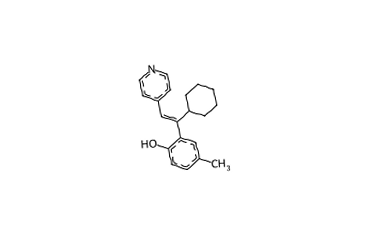 Cc1ccc(O)c(C(=Cc2ccncc2)C2CCCCC2)c1